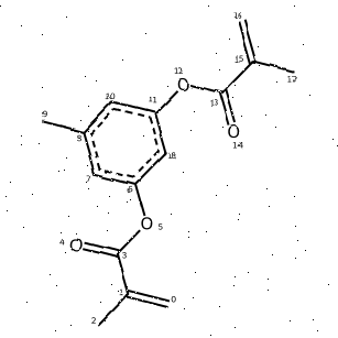 C=C(C)C(=O)Oc1cc(C)cc(OC(=O)C(=C)C)c1